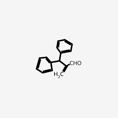 C=C(C=O)C(c1ccccc1)c1ccccc1